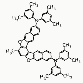 Cc1cc(C)cc(N(c2cc(C)cc(C)c2)c2ccc3cc4c(cc3c2)oc2cc(C)c3oc5cc6cc(N(c7cc(C)cc(C)c7)c7cc(C)cc(C)c7)ccc6cc5c3c24)c1